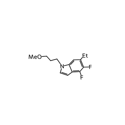 CCc1cc2c(ccn2CCCOC)c(F)c1F